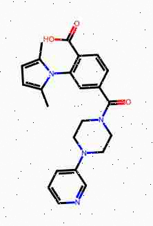 Cc1ccc(C)n1-c1cc(C(=O)N2CCN(c3cccnc3)CC2)ccc1C(=O)O